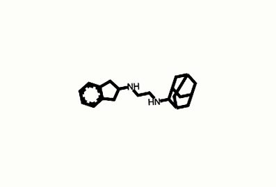 c1ccc2c(c1)CC(NCCNC1C3CC4CC(C3)CC1C4)C2